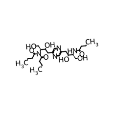 CCCC(=O)N[C@@H](CO)[C@@H](O)Cc1cnc(C[C@H](O)[C@H](CO)N(C(=O)CCC)C(=O)CCC)cn1